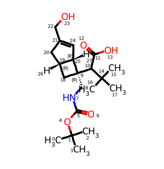 CC(C)(C)OC(=O)NC[C@]1(C(C(=O)O)C(C)(C)C)C[C@@H]2CC(CO)=C[C@@H]21